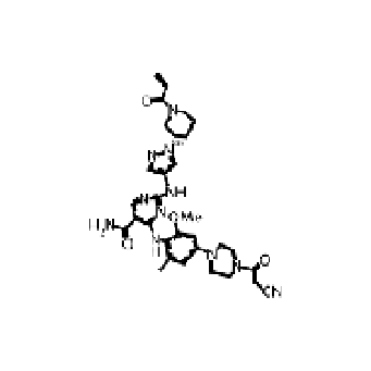 C=CC(=O)N1CCC[C@H](n2cc(Nc3ncc(C(N)=O)c(Nc4c(C)cc(N5CCN(C(=O)CC#N)CC5)cc4OC)n3)cn2)C1